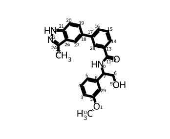 COc1cccc(C(CO)NC(=O)c2cccc(-c3ccc4[nH]nc(C)c4c3)c2)c1